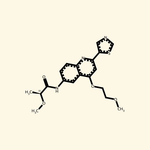 COCCOc1cc(-c2cncs2)nc2ccc(NC(=O)[C@H](C)OC)cc12